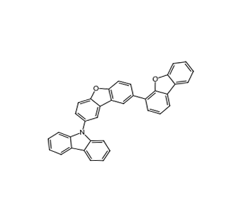 c1ccc2c(c1)oc1c(-c3ccc4oc5ccc(-n6c7ccccc7c7ccccc76)cc5c4c3)cccc12